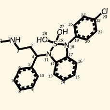 CNCCC(c1ccccc1)N1c2ccccc2N(c2ccc(Cl)cc2)S1(O)O